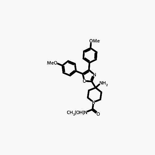 COc1ccc(-c2nc(C3(N)CCN(C(=O)N(C)O)CC3)oc2-c2ccc(OC)cc2)cc1